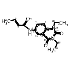 CC=CC(=O)Nc1ccc2c(c1)c(=O)n(CC)c(=O)n2CC